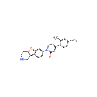 Cc1ccc(-c2ccn(-c3ccc4c5c(oc4c3)CCNC5)c(=O)c2)c(C)c1